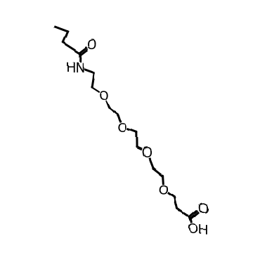 CCCC(=O)NCCOCCOCCOCCOCCC(=O)O